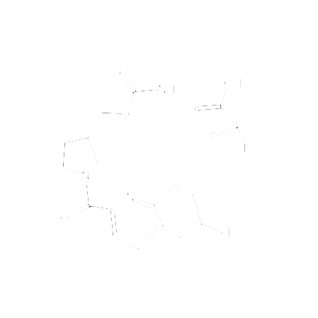 NC(=O)OCC1CCN(C(=O)c2ccc3cc(Cl)ccc3n2)C1.O=C(O)C(F)(F)F